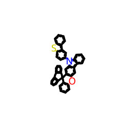 c1ccc2c(c1)Oc1cc3c4ccccc4n(-c4ccc5sc6ccccc6c5c4)c3cc1C21c2ccccc2-c2ccccc21